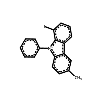 Cc1ccc2c(c1)c1cccc(I)c1n2-c1ccccc1